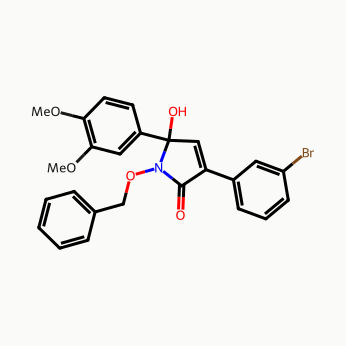 COc1ccc(C2(O)C=C(c3cccc(Br)c3)C(=O)N2OCc2ccccc2)cc1OC